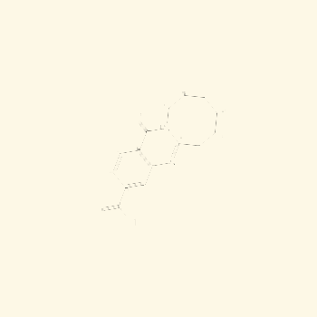 O=C(Cl)c1ccc2c(=O)n3c(nc2c1)CCCCCC3